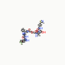 Cc1ncsc1-c1ccc(CNC(=O)[C@@H]2C[C@@H](O)CN2C(=O)C(NC(=O)CCOCCC(=O)N2CC([C@@H](c3ccccc3)n3cc(NC(=O)c4n[nH]c5c4C[C@@H]4C(F)(F)[C@]4(C)C5)cn3)C2)C(C)(C)C)cc1